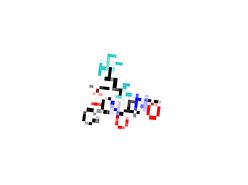 CC(=O)CN1CCC(C(=O)N2CCC(O[C@H](C)c3cc(C(F)(F)F)cc(C(F)(F)F)c3)C(c3ccccc3)C2)CC1